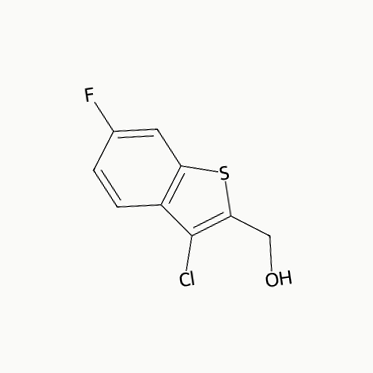 OCc1sc2cc(F)ccc2c1Cl